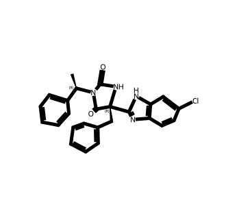 C[C@H](c1ccccc1)N1C(=O)N[C@](Cc2ccccc2)(c2nc3ccc(Cl)cc3[nH]2)C1=O